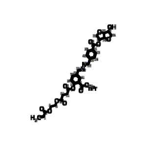 C=CC(=O)OCCOC(=O)CCC(=O)Oc1ccc(/C=N/N=C/c2ccc(C(=O)O[C@@H]3COC4C3OC[C@H]4O)cc2)cc1C(=O)OCCC